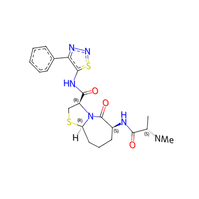 CN[C@@H](C)C(=O)N[C@H]1CCC[C@H]2SC[C@@H](C(=O)Nc3snnc3-c3ccccc3)N2C1=O